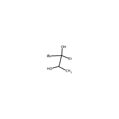 CCC(C)C(O)(CC)C(C)O